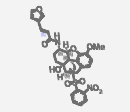 COc1ccc2c3c1O[C@@H]1[C@@H](NC(=O)/C=C/c4ccoc4)CC[C@]4(O)[C@H](C2)N(S(=O)(=O)c2ccccc2[N+](=O)[O-])CC[C@@]314